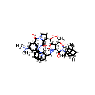 COc1c(CN2O[C@@H](CO)[C@@H]([C@H](C)O)[C@H]2C(=O)N[C@H]2C[C@H]3C[C@@H]([C@@H]2C)C3(C)C)cccc1-c1cc(C(=O)N2CCCC2C(=O)Nc2ccccn2)cc(N(C)C)c1